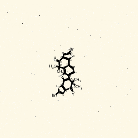 CC1(C)C(=O)c2cc(Br)sc2-c2sc3c4c(ccc3c21)-c1sc(Br)cc1C(=O)C4(C)C